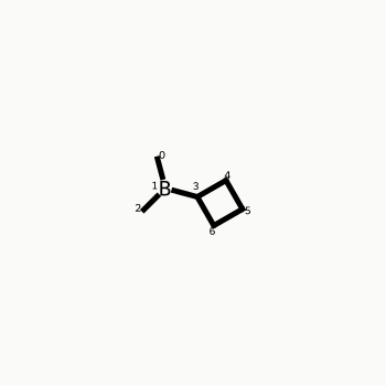 CB(C)C1CCC1